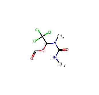 CNC(=O)N(C)C(OC=O)C(Cl)(Cl)Cl